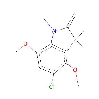 C=C1N(C)c2c(OC)cc(Cl)c(OC)c2C1(C)C